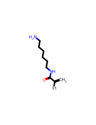 C=C(CC)C(=O)NCCCCCCN